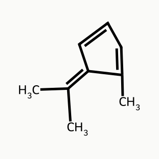 CC1=CC=CC1=C(C)C